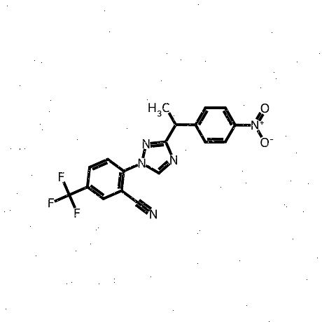 CC(c1ccc([N+](=O)[O-])cc1)c1ncn(-c2ccc(C(F)(F)F)cc2C#N)n1